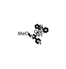 COCCN1CC(c2ccncc2)[C@H](NC(=O)Nc2c3c(nn2-c2ccccc2)CCC3)C1